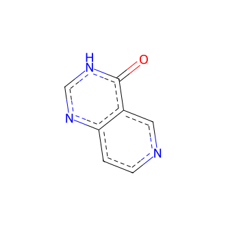 O=c1[nH]cnc2ccncc12